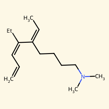 C=C/C=C(CC)\C(=C/C)CCCCN(C)C